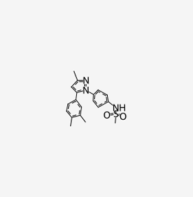 Cc1cc(-c2ccc(C)c(C)c2)n(-c2ccc(NS(C)(=O)=O)cc2)n1